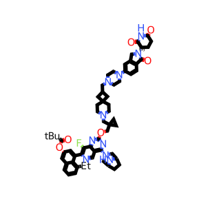 CCc1cccc2cc(OC(=O)C(C)(C)C)cc(-c3ncc4c(N5CC6CCC(C5)N6)nc(OCC5(CN6CCC7(CC6)CC(CN6CCN(c8ccc9c(c8)CN([C@H]8CCC(=O)NC8=O)C9=O)CC6)C7)CC5)nc4c3F)c12